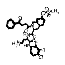 CS(=O)(=O)Oc1ccc2c(c1)CN(C(=O)CCC(=O)c1ccccc1)C(C(=O)NC(CCN)C(=O)Nc1ccc(Cl)c(Cl)c1F)C2